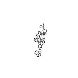 C=CC(=O)N1CCCC(NC(=O)c2sc3nccc4c3c2NC(=O)N4c2ccc(Oc3cccc4ccoc34)cc2C)C1